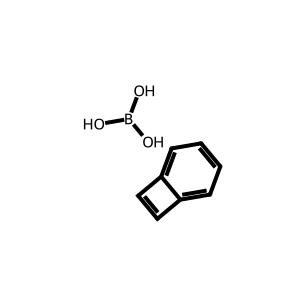 C1=Cc2ccccc21.OB(O)O